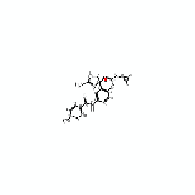 NC1=NC2(CO1)c1cc(NC(=O)c3ccc(Cl)cn3)ccc1OC(CC1CC1)C21COC1